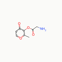 Cc1occc(=O)c1OC(=O)CN